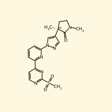 CN1CC[C@](C)(c2cnn(-c3cccc(-c4ccnc(S(C)(=O)=O)n4)n3)c2)C1=O